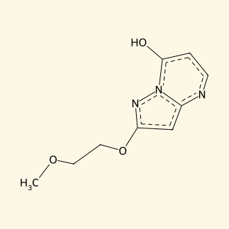 COCCOc1cc2nccc(O)n2n1